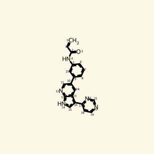 C=CC(=O)Nc1cccc(-c2cnc3[nH]cc(-c4ccncn4)c3c2)c1